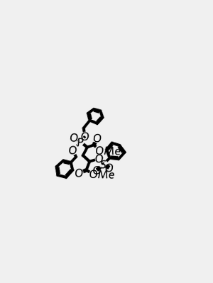 COC(=O)C(CC(C(=O)OC)P(=O)(OCc1ccccc1)OCc1ccccc1)OS(=O)(=O)c1ccccc1